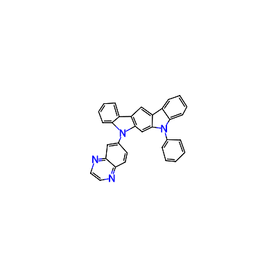 c1ccc(-n2c3ccccc3c3cc4c5ccccc5n(-c5ccc6nccnc6c5)c4cc32)cc1